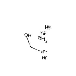 B.CCCCO.F.F.F